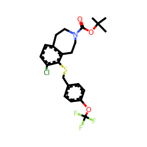 CC(C)(C)OC(=O)N1CCc2ccc(Cl)c(SCc3ccc(OC(F)(F)F)cc3)c2CC1